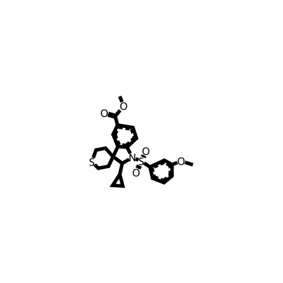 COC(=O)c1ccc2c(c1)C1(CCSCC1)C(C1CC1)N2S(=O)(=O)c1cccc(OC)c1